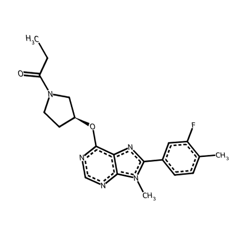 CCC(=O)N1CC[C@H](Oc2ncnc3c2nc(-c2ccc(C)c(F)c2)n3C)C1